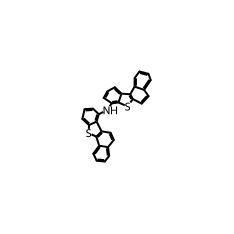 c1ccc2c(c1)ccc1c2sc2cccc(Nc3cccc4c3sc3ccc5ccccc5c34)c21